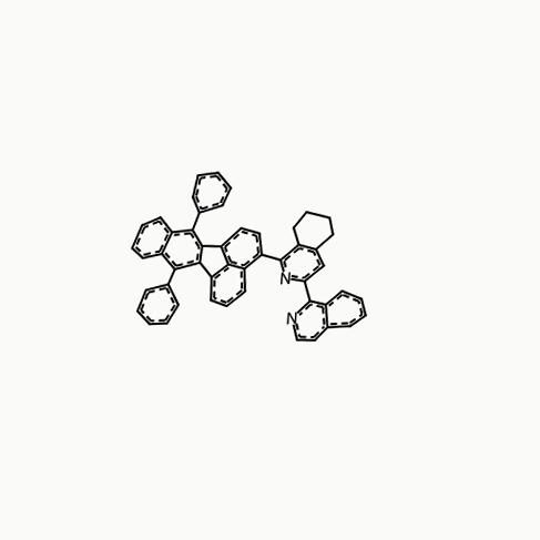 c1ccc(-c2c3c(c(-c4ccccc4)c4ccccc24)-c2ccc(-c4nc(-c5nccc6ccccc56)cc5c4CCCC5)c4cccc-3c24)cc1